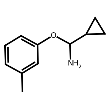 Cc1cccc(OC(N)C2CC2)c1